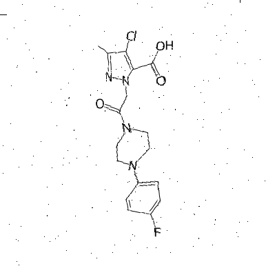 Cc1nn(CC(=O)N2CCN(c3ccc(F)cc3)CC2)c(C(=O)O)c1Cl